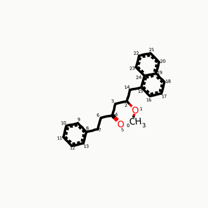 COC(CC(=O)CCc1ccccc1)Cc1cccc2ccccc12